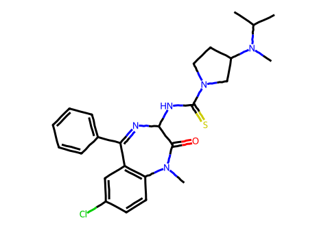 CC(C)N(C)C1CCN(C(=S)NC2N=C(c3ccccc3)c3cc(Cl)ccc3N(C)C2=O)C1